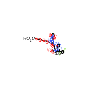 CC(C)(C)C(c1cc(-c2cc(F)ccc2F)cn1Cc1ccccc1)N(CCC(N)C(=O)NC(CNC(=O)CN1C(=O)C=CC1=O)C(=O)NCCOCCOCCOCCOCCC(=O)O)C(=O)CO